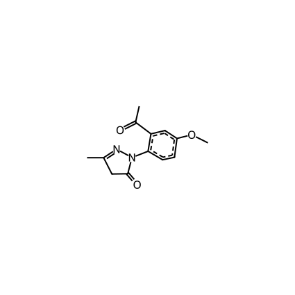 COc1ccc(N2N=C(C)CC2=O)c(C(C)=O)c1